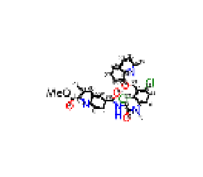 COC(=O)c1nc2ccc(C(=O)NCC(=O)N(C)c3ccc(Cl)c(COc4cccc5ccc(C)nc45)c3Cl)cc2cc1C